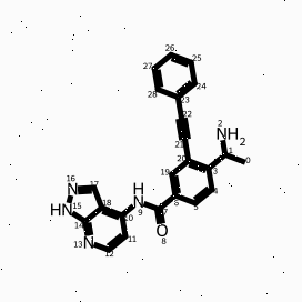 CC(N)c1ccc(C(=O)Nc2ccnc3[nH]ncc23)cc1C#Cc1ccccc1